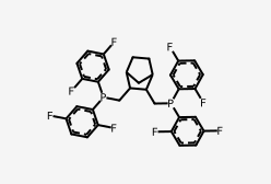 Fc1ccc(F)c(P(CC2C3CCC(C3)C2CP(c2cc(F)ccc2F)c2cc(F)ccc2F)c2cc(F)ccc2F)c1